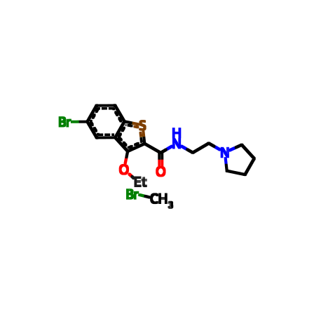 CBr.CCOc1c(C(=O)NCCN2CCCC2)sc2ccc(Br)cc12